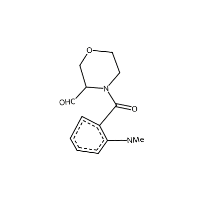 CNc1ccccc1C(=O)N1CCOCC1C=O